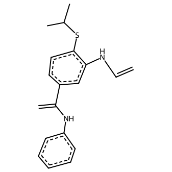 C=CNc1cc(C(=C)Nc2ccccc2)ccc1SC(C)C